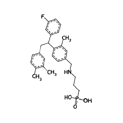 Cc1ccc(CC(c2cccc(F)c2)c2ccc(CNCCCP(=O)(O)O)cc2C)cc1C